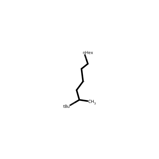 CCCCCCCC[CH]CC(C)C(C)(C)C